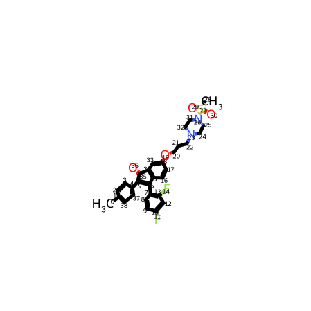 Cc1ccc(C2=C(c3ccc(F)cc3F)c3ccc(OCCCN4CCN(S(C)(=O)=O)CC4)cc3C2=O)cc1